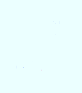 NC(=O)CC(F)CC(N)=O